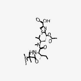 CC[C@H](C)[C@H](NC(=O)C(C)(C)N(C)I)C(=O)N(C)[C@H](C[C@@H](OC(C)=O)c1nc(C(=O)O)cs1)C(C)C